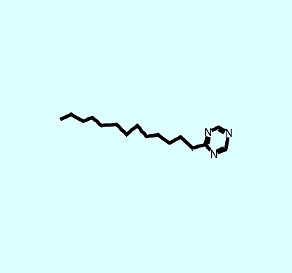 CCCCCCCCCCCC[CH]c1ncncn1